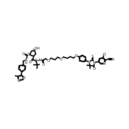 Cc1ncsc1-c1ccc(CNC(=O)[C@@H]2C[C@@H](O)CC2C(=O)[C@@H](NC(=O)COCCCOCCCCOc2ccc(N3C(=S)N(c4cnc(C#N)c(Cl)c4)C(=O)C3(C)C)cc2)C(C)(C)C)cc1